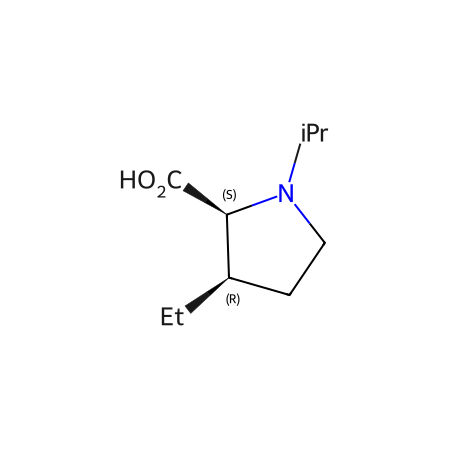 CC[C@@H]1CCN(C(C)C)[C@@H]1C(=O)O